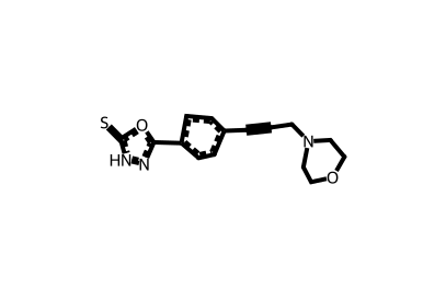 S=c1[nH]nc(-c2ccc(C#CCN3CCOCC3)cc2)o1